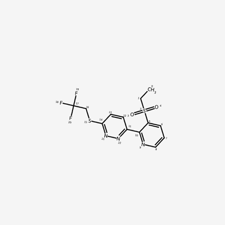 CCS(=O)(=O)c1cccnc1-c1ccc(SCC(F)(F)F)nn1